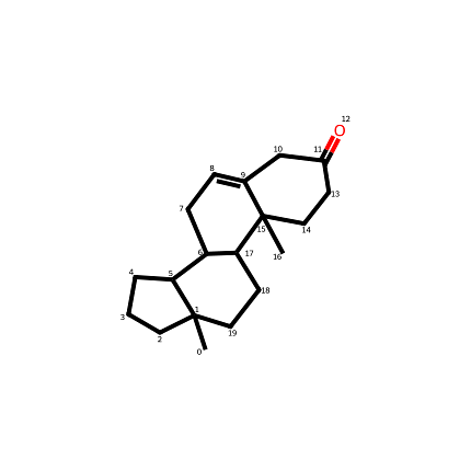 CC12CCCC1C1CC=C3CC(=O)CCC3(C)C1CC2